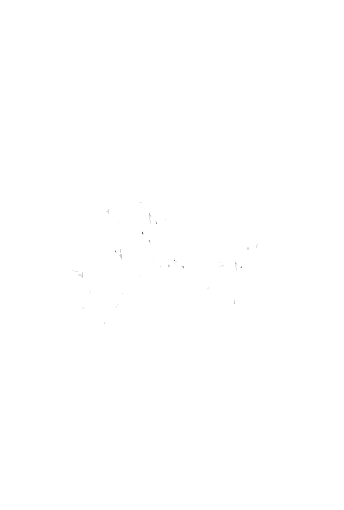 CO[n+]1cccc(CNc2cc(-c3sccc3Br)nc3c(Br)cnn23)c1